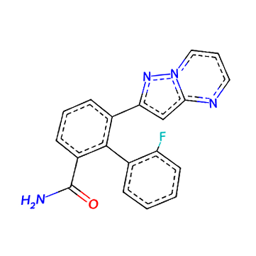 NC(=O)c1cccc(-c2cc3ncccn3n2)c1-c1ccccc1F